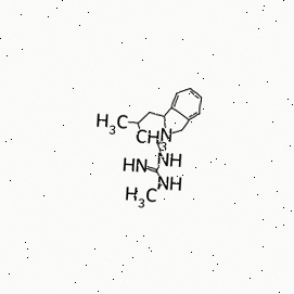 CNC(=N)NCN1Cc2ccccc2C1CC(C)C